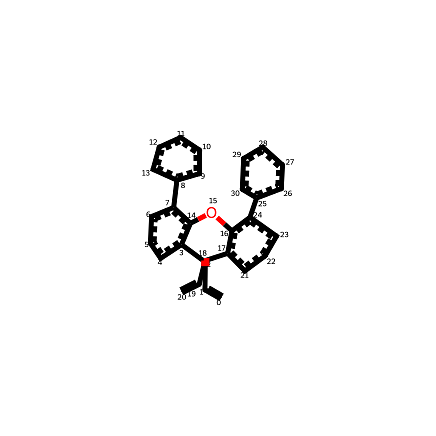 C=CCc1cccc(-c2ccccc2)c1Oc1c(CC=C)cccc1-c1ccccc1